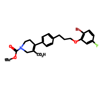 CC(C)(C)OC(=O)N1CCC(c2ccc(CCCOc3cc(F)ccc3Br)cc2)=C(C(=O)O)C1